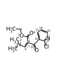 CCOC(=O)/C(=C\N(C)C)C(=O)c1cccnc1Cl